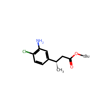 C[C@@H](CC(=O)OC(C)(C)C)c1ccc(Cl)c(N)c1